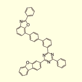 c1ccc(-c2nc(-c3cccc(-c4ccc(-c5cccc6nc(-c7ccccc7)oc56)cc4)c3)nc(-c3ccc4c(c3)oc3ccccc34)n2)cc1